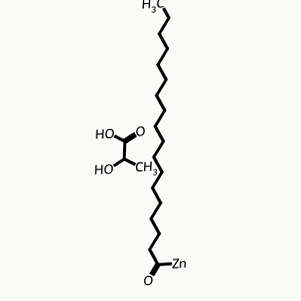 CC(O)C(=O)O.CCCCCCCCCCCCCCCCC[C](=O)[Zn]